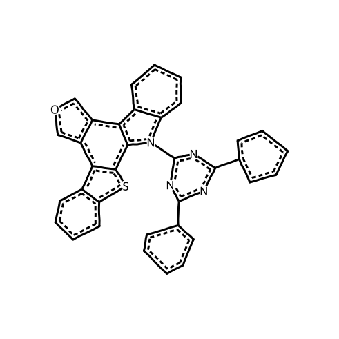 c1ccc(-c2nc(-c3ccccc3)nc(-n3c4ccccc4c4c5cocc5c5c6ccccc6sc5c43)n2)cc1